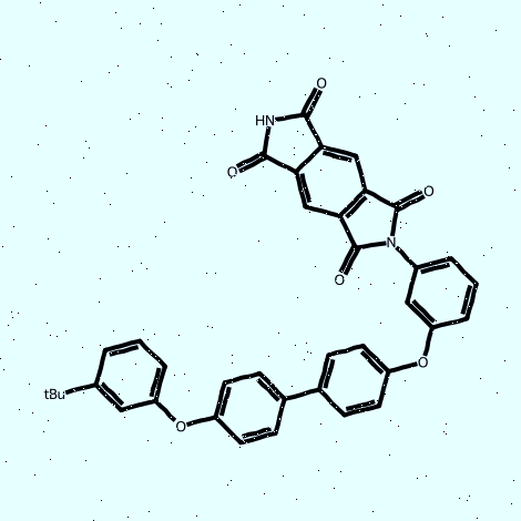 CC(C)(C)c1cccc(Oc2ccc(-c3ccc(Oc4cccc(-n5c(=O)c6cc7c(=O)[nH]c(=O)c7cc6c5=O)c4)cc3)cc2)c1